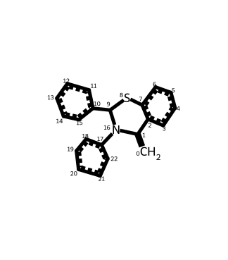 C=C1c2ccccc2SC(c2ccccc2)N1c1ccccc1